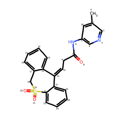 Cc1cncc(NC(=O)C/C=C2\c3ccccc3CS(=O)(=O)c3ccccc32)c1